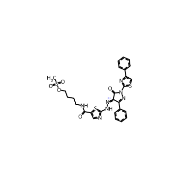 CS(=O)(=O)OCCCCNC(=O)c1cnc(N/N=C2/C(=O)N(c3nc(-c4ccccc4)cs3)N=C2c2ccccc2)s1